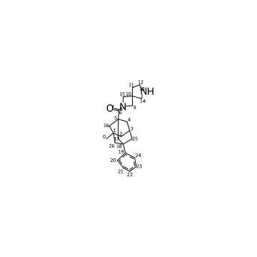 CC12CC3CC(C(=O)N4CC5(CCNC5)C4)(C1)CC(c1ccccc1)(C3)C2